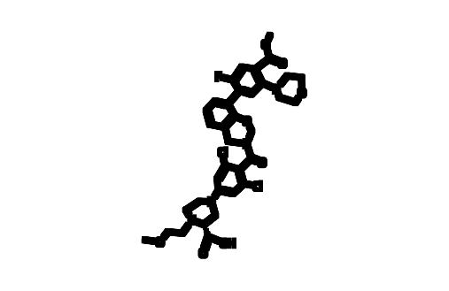 COCCN1CCN(c2cc(Cl)c(C(=O)N3COc4c(cccc4-c4cc(N5CCOCC5)c(C(=O)OC)cc4F)C3)c(Cl)c2)C[C@@H]1C(=O)O